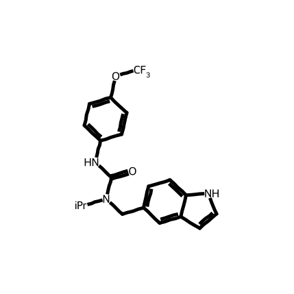 CC(C)N(Cc1ccc2[nH]ccc2c1)C(=O)Nc1ccc(OC(F)(F)F)cc1